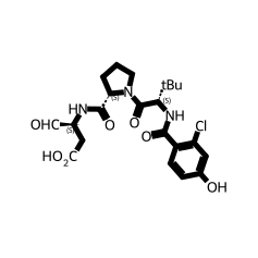 CC(C)(C)[C@H](NC(=O)c1ccc(O)cc1Cl)C(=O)N1CCC[C@H]1C(=O)N[C@H](C=O)CC(=O)O